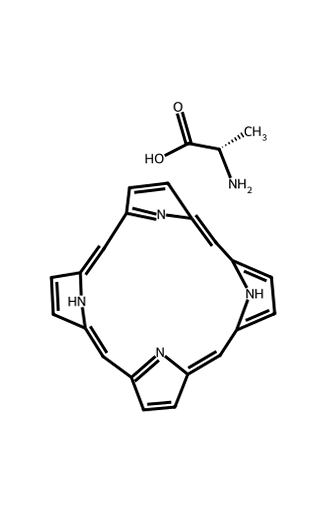 C1=Cc2cc3ccc(cc4nc(cc5ccc(cc1n2)[nH]5)C=C4)[nH]3.C[C@H](N)C(=O)O